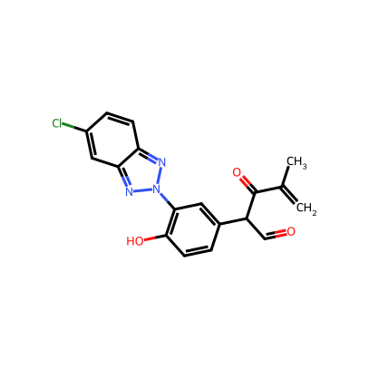 C=C(C)C(=O)C(C=O)c1ccc(O)c(-n2nc3ccc(Cl)cc3n2)c1